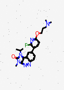 CC(C)n1c(=O)n(C)c2nnc3ccc(-c4ccc(OCCCN(C)C)nc4F)cc3c21